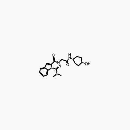 CN(C)c1nn(CC(=O)N[C@H]2CC[C@H](O)CC2)c(=O)c2cc3ccccc3n12